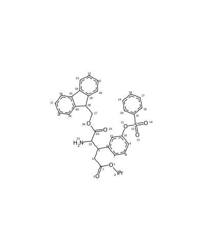 CC(C)OC(=O)CC(c1cccc(OS(=O)(=O)c2ccccc2)c1)C(N)C(=O)OCC1c2ccccc2-c2ccccc21